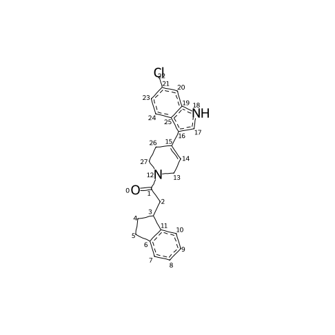 O=C(CC1CCc2ccccc21)N1CC=C(c2c[nH]c3cc(Cl)ccc23)CC1